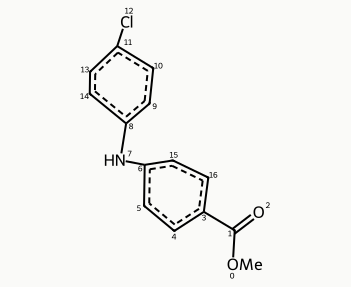 COC(=O)c1ccc(Nc2ccc(Cl)cc2)cc1